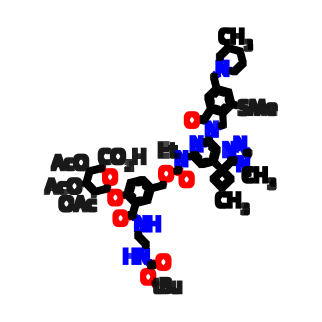 CCN(C(=O)OCc1ccc(O[C@@H]2O[C@H](C(=O)O)[C@@H](OC(C)=O)[C@H](OC(C)=O)[C@H]2OC(C)=O)c(C(=O)NCCNC(=O)OC(C)(C)C)c1)c1cc([C@]2(c3nncn3C)C[C@@H](C)C2)cc(N2Cc3c(SC)cc(CN4CCC[C@H](C)C4)cc3C2=O)n1